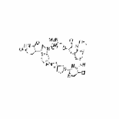 CNC(=O)COc1cc2cc(Nc3nc(N4CC[C@@H](CNc5ccc6c(C7CCC(=O)NC7=O)nn(C)c6c5)C4)ncc3Cl)cnc2n(C)c1=O